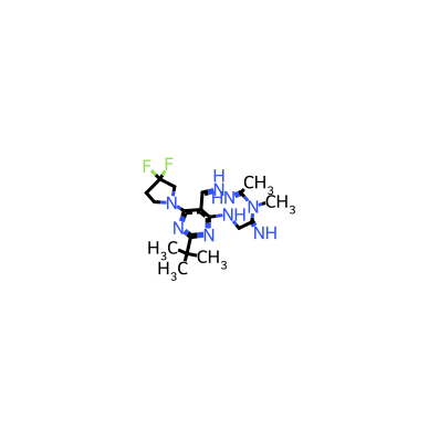 CC(=N)N(C)C(=N)CNc1nc(C(C)(C)C)nc(N2CCC(F)(F)C2)c1C=N